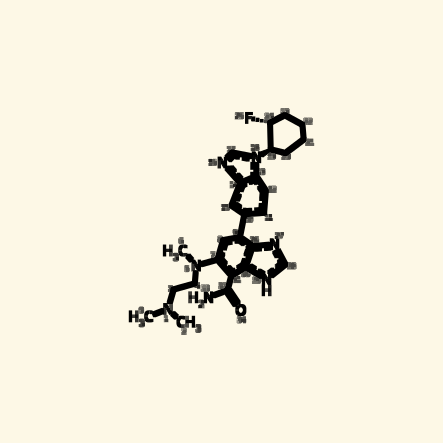 CN(C)CCN(C)c1cc(-c2ccc3c(c2)ncn3[C@@H]2CCCC[C@H]2F)c2nc[nH]c2c1C(N)=O